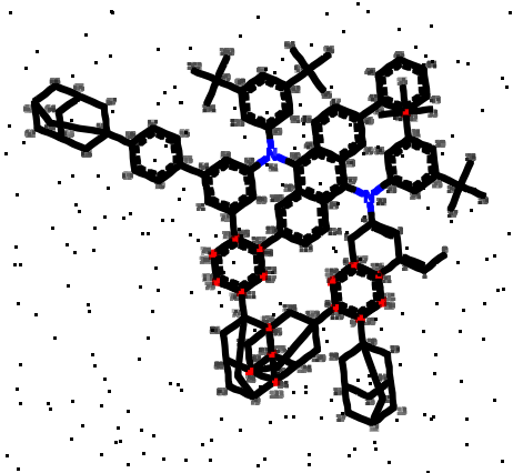 C/C=C(\C=C(/Cc1ccc(C23CC4CC(CC(C4)C2)C3)cc1)N(c1cc(C(C)(C)C)cc(C(C)(C)C)c1)c1c2cc(-c3ccccc3)ccc2c(N(c2cc(-c3ccc(C45CC6CC(CC(C6)C4)C5)cc3)cc(-c3ccc(C45CC6CC(CC(C6)C4)C5)cc3)c2)c2cc(C(C)(C)C)cc(C(C)(C)C)c2)c2cc(-c3ccccc3)ccc12)c1ccc(C23CC4CC(CC(C4)C2)C3)cc1